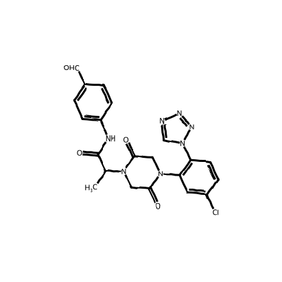 CC(C(=O)Nc1ccc(C=O)cc1)N1CC(=O)N(c2cc(Cl)ccc2-n2cnnn2)CC1=O